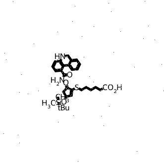 CC(C)(C)[Si](C)(C)OC1C=C(SCCCCCC(=O)O)C(=O)C1.NC(=O)c1cccc2c1-c1ccccc1CN2